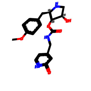 COc1ccc(C[C@H]2NC[C@H](O)[C@H]2OC(=O)NCc2cc[nH]c(=O)c2)cc1